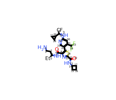 CCC(CCN)NC(=O)c1nc(C(=O)NC2CCC2)sc1-c1cnc(NC(C2CC2)C(F)(F)F)cc1C(F)F